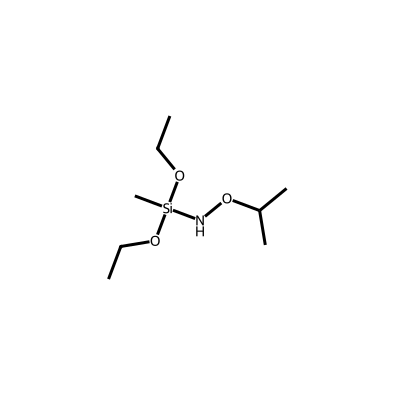 CCO[Si](C)(NOC(C)C)OCC